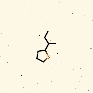 CCC(C)C1CCCS1